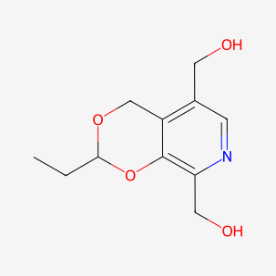 CCC1OCc2c(CO)cnc(CO)c2O1